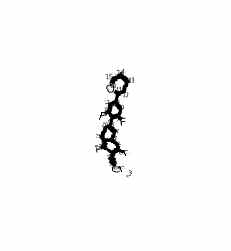 Fc1cc2cc(-c3c(F)cc(C4CCCCO4)cc3F)ccc2c(F)c1C#CC(F)(F)F